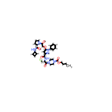 CCCCOC(=O)N1CCN(C(=O)[C@H](CF)NC(=O)c2cc(OCC(=O)N3CCC[C@H]3C(=O)NC3CCC3)n(-c3ccccc3)n2)CC1